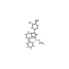 CCCn1nc(-c2ccc(O)c(F)c2)c2cccc(-c3ccccc3)c21